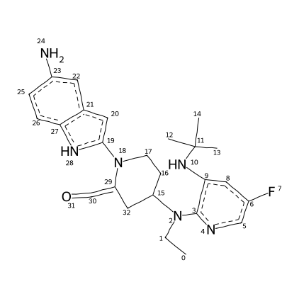 CCN(c1ncc(F)cc1NC(C)(C)C)C1CCN(c2cc3cc(N)ccc3[nH]2)C(=C=O)C1